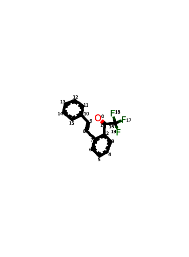 O=C(c1ccccc1/C=C/c1ccccc1)C(F)(F)F